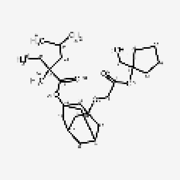 CCC1(OC(=O)COC23CC4CC(C2)CC(OC(=O)C(C)(CP)CC(C)C)(C4)C3)CCCC1